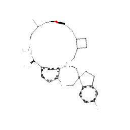 CC1CSNC(=O)c2ccc3c(c2)N(CC2CCC2CC2=CC1C2)CC1(CCc2cc(Cl)ccc21)CO3